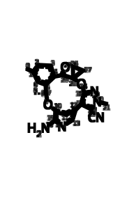 Cc1ccc2c(c1)[C@@H](C)Oc1cc(cnc1N)-c1c(nn(C)c1C#N)OC1(CC1)C2=O